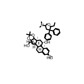 CC1(C)O[C@@H]2C[C@H]3[C@@H]4CCC5=CC(=O)C=C[C@]5(C)[C@@]4(F)[C@@H](O)C[C@]3(C)[C@]2(C(=O)CO)O1.CCC(=O)C(CC(C)N(C)C)(c1ccccc1)c1ccccc1.Cl